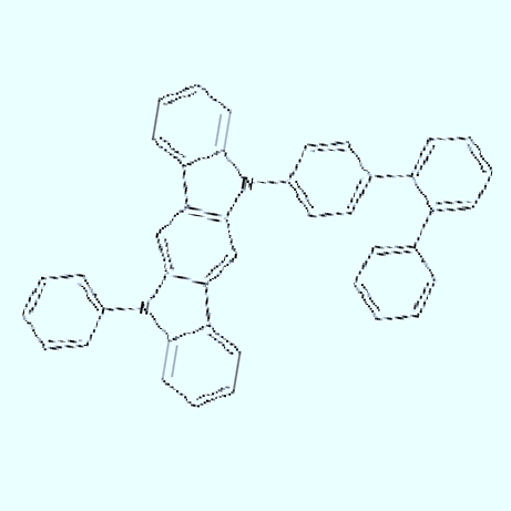 c1ccc(-c2ccccc2-c2ccc(-n3c4ccccc4c4cc5c(cc43)c3ccccc3n5-c3ccccc3)cc2)cc1